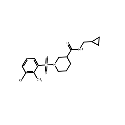 Cc1c(Cl)cccc1S(=O)(=O)N1CCCC(C(=O)NCC2CC2)C1